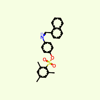 Cc1cc(C)c(S(=O)(=O)Oc2ccc(/N=C\c3cccc4ccccc34)cc2)c(C)c1